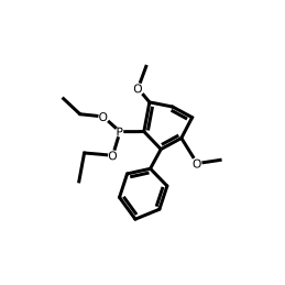 CCOP(OCC)c1c(OC)ccc(OC)c1-c1ccccc1